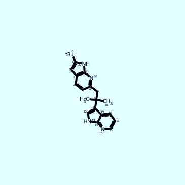 CC(C)(C)c1cc2ccc(CC(C)(C)c3c[nH]c4ncccc34)nc2[nH]1